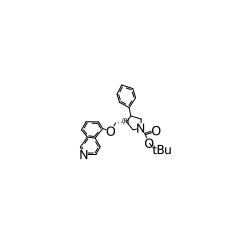 CC(C)(C)OC(=O)N1CC(c2ccccc2)[C@@H](COc2cccc3cnccc23)C1